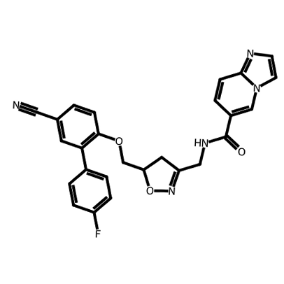 N#Cc1ccc(OCC2CC(CNC(=O)c3ccc4nccn4c3)=NO2)c(-c2ccc(F)cc2)c1